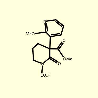 COC(=O)C1(c2cccnc2OC)CCCN(C(=O)O)C1=O